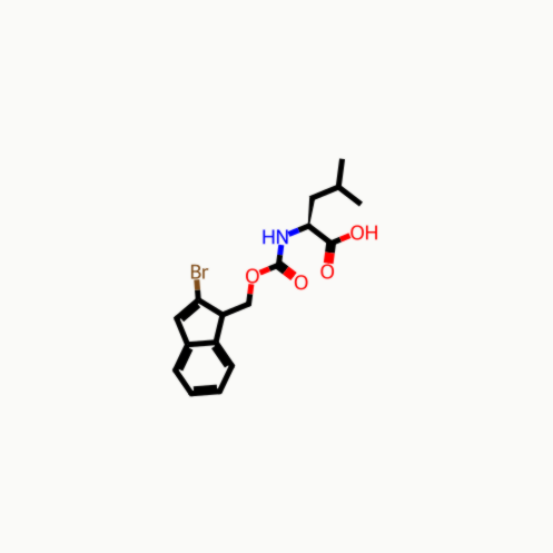 CC(C)C[C@H](NC(=O)OCC1C(Br)=Cc2ccccc21)C(=O)O